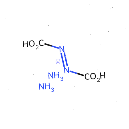 N.N.O=C(O)/N=N/C(=O)O